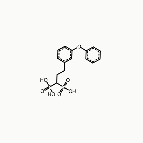 O=P(O)(O)C(CCc1cccc(Oc2ccccc2)c1)S(=O)(=O)O